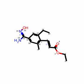 CCOC(=O)/C=C/c1c(C)cc(/C(N)=N\O)cc1CC